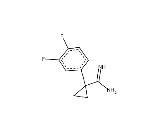 N=C(N)C1(c2ccc(F)c(F)c2)CC1